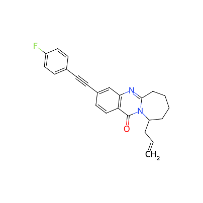 C=CCC1CCCCc2nc3cc(C#Cc4ccc(F)cc4)ccc3c(=O)n21